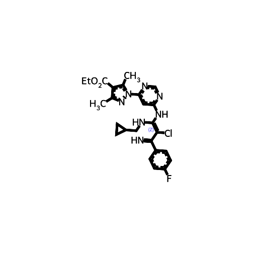 CCOC(=O)c1c(C)nn(-c2cc(N/C(NCC3CC3)=C(\Cl)C(=N)c3ccc(F)cc3)ncn2)c1C